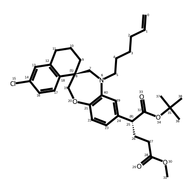 C=CCCCCN1C[C@@]2(CCCc3cc(Cl)ccc32)COc2ccc([C@@H](CCC(=O)OC)C(=O)OC(C)(C)C)cc21